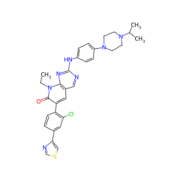 CCn1c(=O)c(-c2ccc(-c3cscn3)cc2Cl)cc2cnc(Nc3ccc(N4CCN(C(C)C)CC4)cc3)nc21